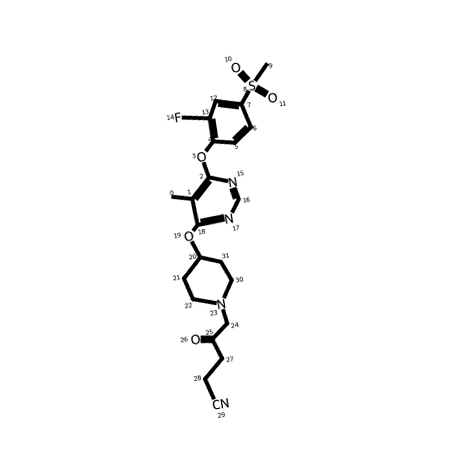 Cc1c(Oc2ccc(S(C)(=O)=O)cc2F)ncnc1OC1CCN(CC(=O)CCC#N)CC1